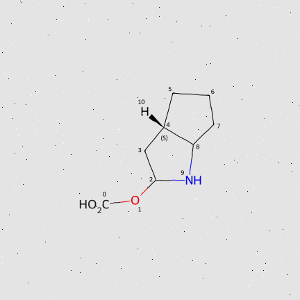 O=C(O)OC1C[C@@H]2CCCC2N1